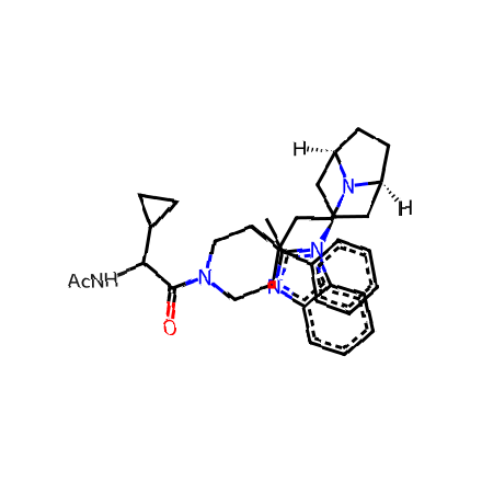 CC(=O)NC(C(=O)N1CCC(CCN2[C@@H]3CC[C@H]2C[C@@H](n2c(C)nc4ccccc42)C3)(c2ccccc2)CC1)C1CC1